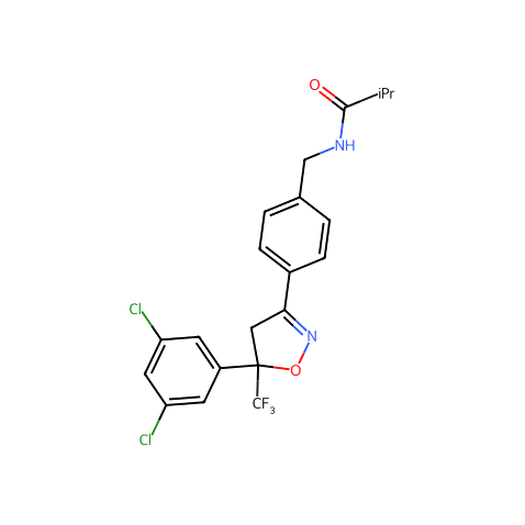 CC(C)C(=O)NCc1ccc(C2=NOC(c3cc(Cl)cc(Cl)c3)(C(F)(F)F)C2)cc1